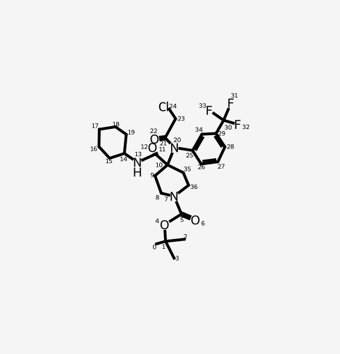 CC(C)(C)OC(=O)N1CCC(C(=O)NC2CCCCC2)(N(C(=O)CCl)c2cccc(C(F)(F)F)c2)CC1